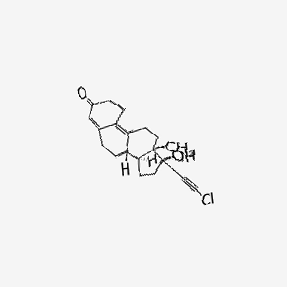 C[C@]12CCC3=C4CCC(=O)C=C4CC[C@H]3[C@@H]1CC[C@@]2(O)C#CCl